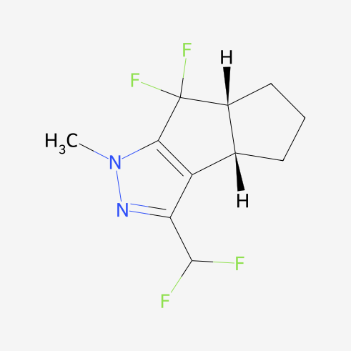 Cn1nc(C(F)F)c2c1C(F)(F)[C@@H]1CCC[C@H]21